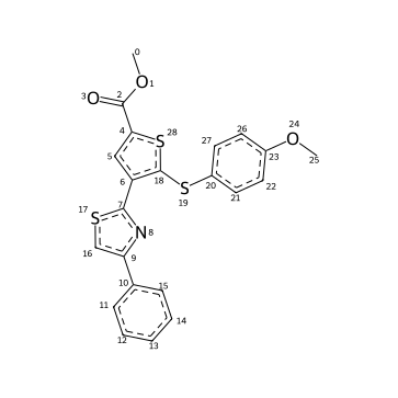 COC(=O)c1cc(-c2nc(-c3ccccc3)cs2)c(Sc2ccc(OC)cc2)s1